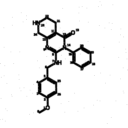 COc1ccc(CNc2nc3c(c(=O)n2-c2ccccc2)CCNC3)cc1